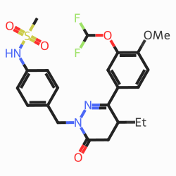 CCC1CC(=O)N(Cc2ccc(NS(C)(=O)=O)cc2)N=C1c1ccc(OC)c(OC(F)F)c1